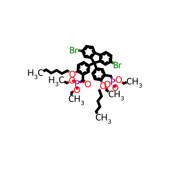 CCCCCCOc1ccc(C2(c3ccc(OCCCCCC)c(C(=O)P(OCC)OCC)c3)c3cc(Br)ccc3-c3ccc(Br)cc32)cc1CP(=O)(OCC)OCC